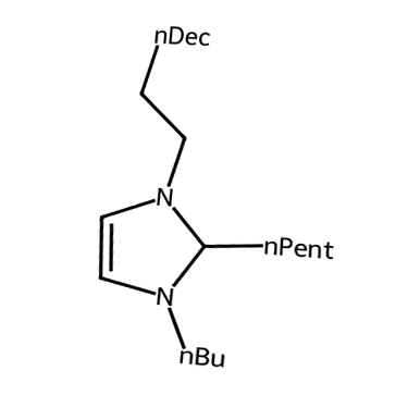 CCCCCCCCCCCCN1C=CN(CCCC)C1CCCCC